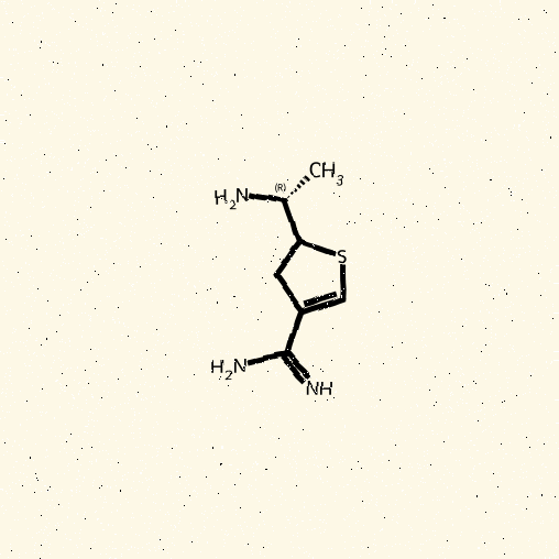 C[C@@H](N)C1CC(C(=N)N)=CS1